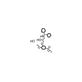 CCOC(=O)c1ccc(OCC)c(OCC(O)CNC(c2ccccc2)c2ccccc2)c1.Cl